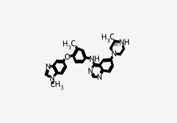 Cc1cc(Nc2ncnc3ccc(N4CCN[C@H](C)C4)cc23)ccc1Oc1ccc2c(c1)ncn2C